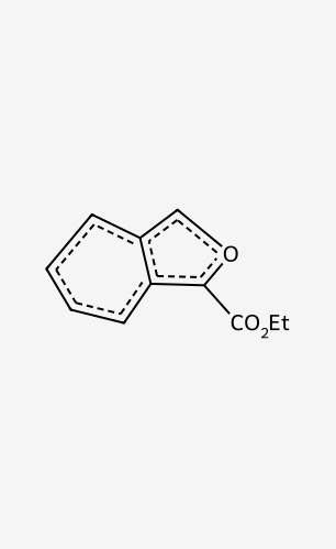 CCOC(=O)c1occ2ccccc12